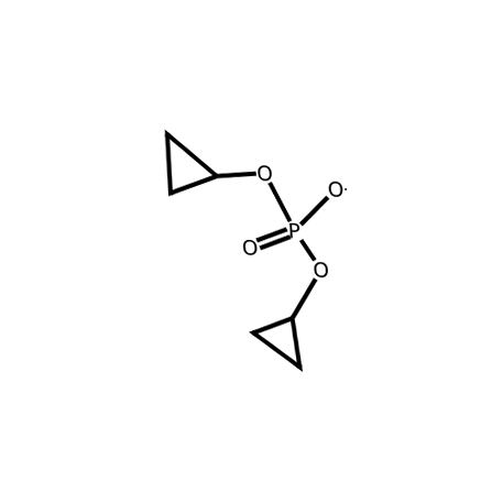 [O]P(=O)(OC1CC1)OC1CC1